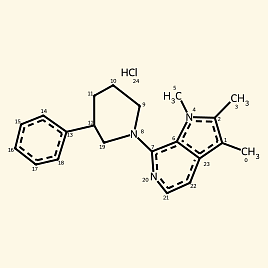 Cc1c(C)n(C)c2c(N3CCCC(c4ccccc4)C3)nccc12.Cl